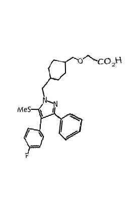 CSc1c(-c2ccc(F)cc2)c(-c2ccccc2)nn1CC1CCC(COCC(=O)O)CC1